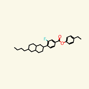 CCCCC1CCC2CC(c3ccc(C(=O)Oc4ccc(CC)cc4)cc3F)CCC2C1